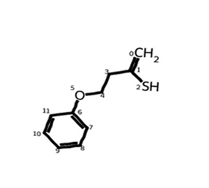 C=C(S)CCOc1ccccc1